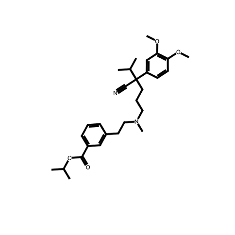 COc1ccc(C(C#N)(CCCN(C)CCc2cccc(C(=O)OC(C)C)c2)C(C)C)cc1OC